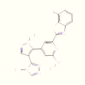 CCNc1cc(-c2c(-c3nncn3C)cnn2C)cc(-c2nc3cccc(C(F)(F)F)c3s2)n1